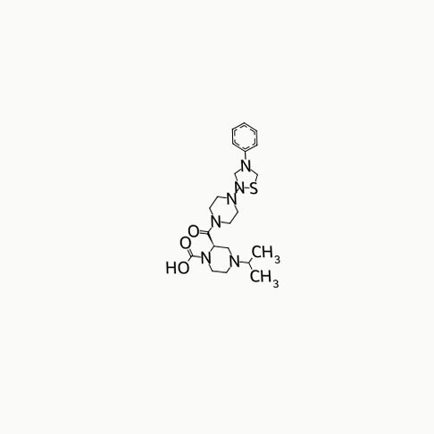 CC(C)N1CCN(C(=O)O)[C@@H](C(=O)N2CCN(N3CN(c4ccccc4)CS3)CC2)C1